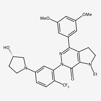 CCN1CCc2c(-c3cc(OC)cc(OC)c3)nn(-c3cc(N4CC[C@H](O)C4)ccc3C(F)(F)F)c(=O)c21